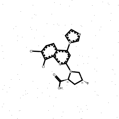 O=C(O)[C@@H]1C[C@@H](F)CN1c1cc(-n2ccnc2)c2ccc(Cl)c(Cl)c2n1